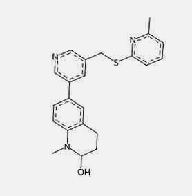 Cc1cccc(SCc2cncc(-c3ccc4c(c3)CCC(O)N4C)c2)n1